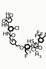 CC1(C)C(=O)N(c2ccc(C#N)c(C(F)(F)F)c2)C(S)N1c1ccc(OCCC2CCN(CC(=O)Nc3cc(Cl)cc(NC4CCC(=O)NC4=O)c3)CC2)c(CCF)c1